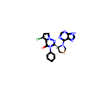 O=c1c2c(Cl)ccn2nc([C@@H]2CSCN2c2ncnc3[nH]cnc23)n1-c1ccccc1